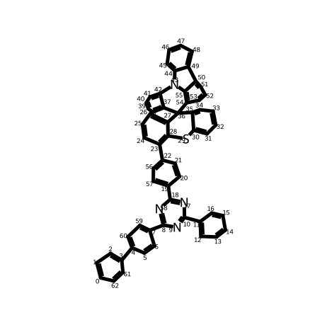 c1ccc(-c2ccc(-c3nc(-c4ccccc4)nc(-c4ccc(-c5cccc6c5Sc5ccccc5C65c6ccccc6-n6c7ccccc7c7cccc5c76)cc4)n3)cc2)cc1